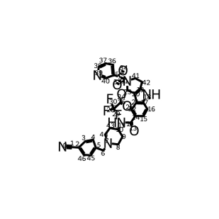 N#Cc1ccc(CN2CCC(NC(=O)c3ccc4[nH]c5c(c4c3)C(OC(=O)C(F)(F)F)N(S(=O)(=O)c3cccnc3)CC5)CC2)cc1